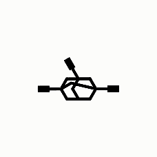 C#CC12CC3CC(C#C)(C1)CC(C#C)(C3)C2